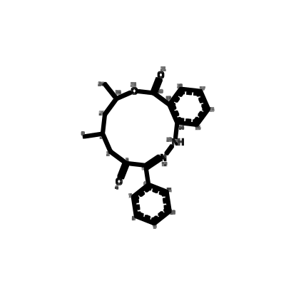 CC1CC(=O)/C(c2ccccc2)=N\Nc2ccccc2C(=O)OC(C)C1